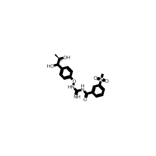 C[C@@H](O)C(O)c1ccc(ONC(=N)NC(=O)c2cccc(S(C)(=O)=O)c2)cc1